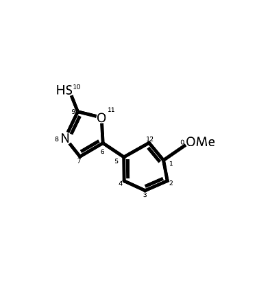 COc1cccc(-c2cnc(S)o2)c1